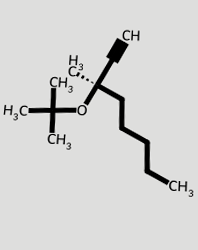 C#C[C@@](C)(CCCCC)OC(C)(C)C